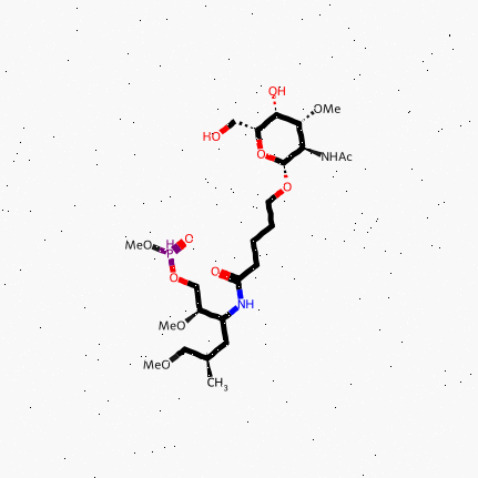 COC[C@H](C)CC(NC(=O)CCCCO[C@@H]1O[C@H](CO)[C@H](O)[C@H](OC)[C@H]1NC(C)=O)[C@H](CO[PH](=O)OC)OC